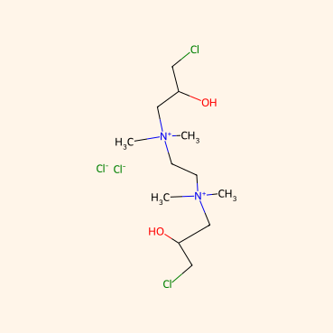 C[N+](C)(CC[N+](C)(C)CC(O)CCl)CC(O)CCl.[Cl-].[Cl-]